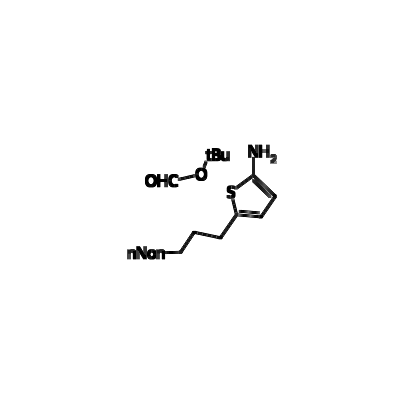 CC(C)(C)OC=O.CCCCCCCCCCCCc1ccc(N)s1